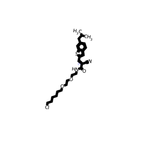 CC(C)Cc1ccc2cc(/C=C(\C#N)C(=O)NCCOCCOCCCCCCCl)sc2c1